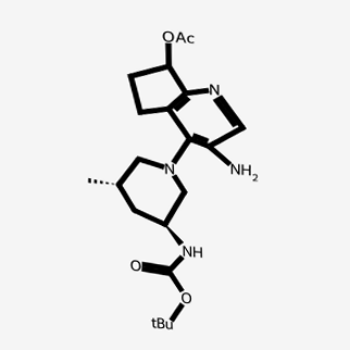 CC(=O)OC1CCc2c1ncc(N)c2N1C[C@@H](C)C[C@H](NC(=O)OC(C)(C)C)C1